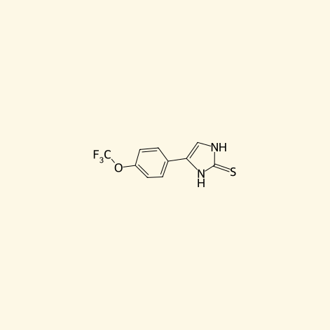 FC(F)(F)Oc1ccc(-c2c[nH]c(=S)[nH]2)cc1